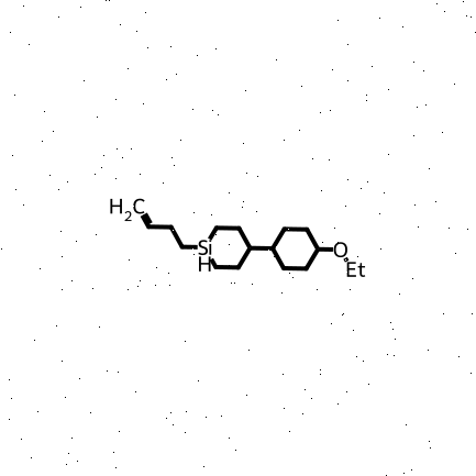 C=CCC[SiH]1CCC(C2CCC(OCC)CC2)CC1